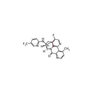 Cc1ccnc(C(=O)N2CC3CC[C@H]2[C@H](Nc2ccc(C(F)(F)F)cn2)C3)c1-c1ncc(F)cn1